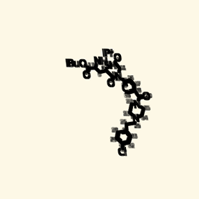 CC(C)COC(=O)C(N)C[C@@H](S)C(=O)N(CCOC(C)C)c1ccc(C(=O)N2CCN(CCc3ccc(Cl)cc3)CC2)cc1